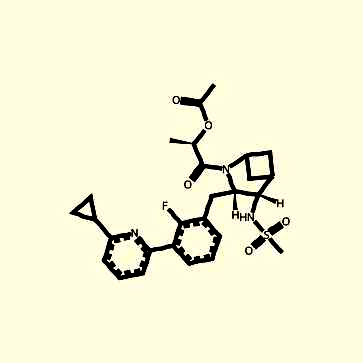 CC(=O)O[C@H](C)C(=O)N1C2CC(C2)[C@H](NS(C)(=O)=O)[C@@H]1Cc1cccc(-c2cccc(C3CC3)n2)c1F